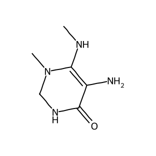 CNC1=C(N)C(=O)NCN1C